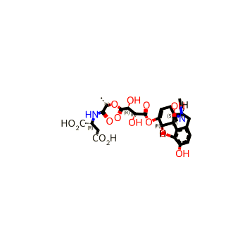 C[C@H](OC(=O)[C@H](O)[C@@H](O)C(=O)OC1=CC[C@@]2(O)[C@H]3Cc4ccc(O)c5c4[C@@]2(CCN3C)[C@H]1O5)C(=O)N[C@H](CC(=O)O)C(=O)O